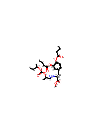 CCCC(=O)Oc1ccc(C[C@H](NCC(C)OC(=O)OC(C)CC)C(=O)OC)cc1OC(=O)CCC